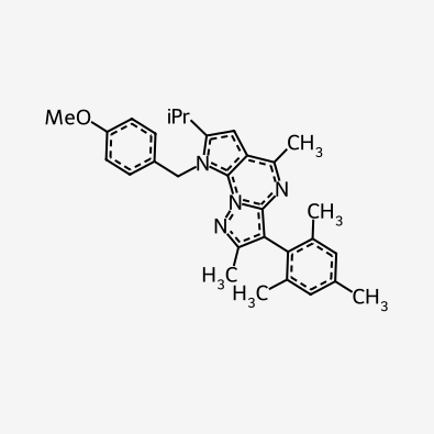 COc1ccc(Cn2c(C(C)C)cc3c(C)nc4c(-c5c(C)cc(C)cc5C)c(C)nn4c32)cc1